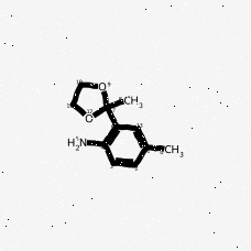 Cc1ccc(N)c(C2(C)OCCO2)c1